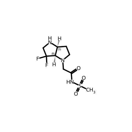 CS(=O)(=O)NC(=O)CN1CC[C@@H]2NCC(F)(F)[C@@H]21